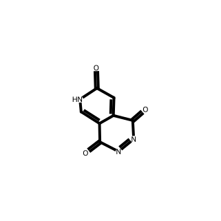 O=C1N=NC(=O)c2cc(=O)[nH]cc21